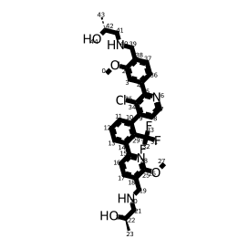 COc1cc(-c2nccc(-c3cccc(-c4ccc(CNC[C@@H](C)O)c(OC)n4)c3C(F)(F)F)c2Cl)ccc1CNC[C@@H](C)O